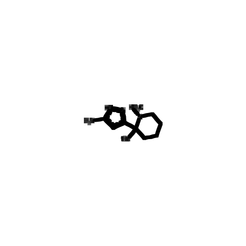 CC(C)(C)C1(c2cc(N)[nH]n2)CCCCN1C(=O)O